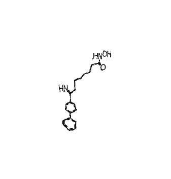 N=C(CCCCCCC(=O)NO)c1ccc(-c2ccccc2)cc1